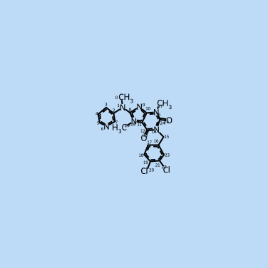 CN(c1cccnc1)c1nc2c(c(=O)n(Cc3ccc(Cl)c(Cl)c3)c(=O)n2C)n1C